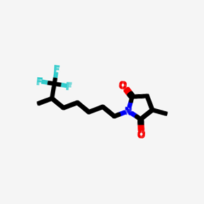 CC1CC(=O)N(CCCCCC(C)C(F)(F)F)C1=O